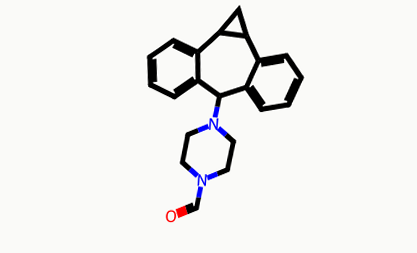 O=CN1CCN(C2c3ccccc3C3CC3c3ccccc32)CC1